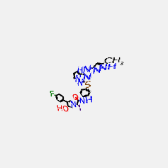 Cc1cc(Nc2nc(Sc3ccc(NC(=O)C(I)N4CC(O)C(c5ccc(F)cc5)C4)cc3)nn3cccc23)n[nH]1